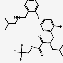 CC(C)CN(Cc1ccccc1F)C(=O)C(=O)OCC(F)(F)F.CC(C)CNCc1ccccc1F